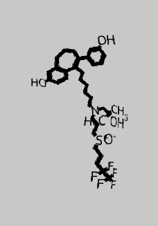 CC(C)(O)CN(CCCCCCC1=C(c2cccc(O)c2)CCCc2cc(O)ccc21)CCC[S+]([O-])CCCC(F)(F)C(F)(F)F